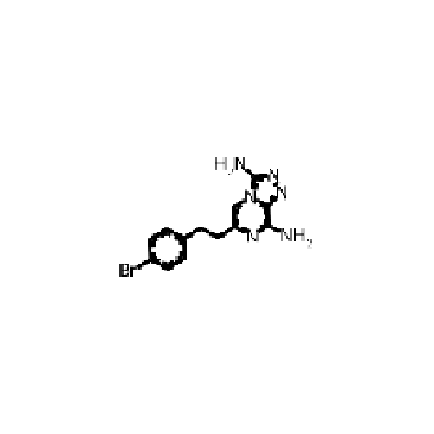 Nc1nc(CCc2ccc(Br)cc2)cn2c(N)nnc12